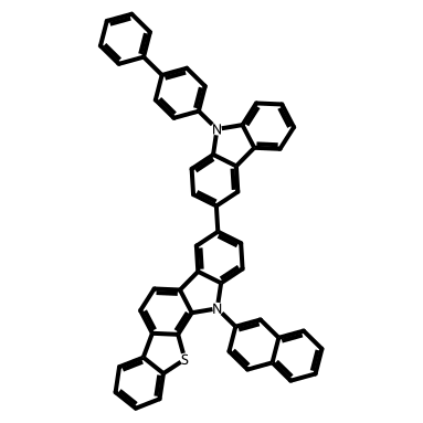 c1ccc(-c2ccc(-n3c4ccccc4c4cc(-c5ccc6c(c5)c5ccc7c8ccccc8sc7c5n6-c5ccc6ccccc6c5)ccc43)cc2)cc1